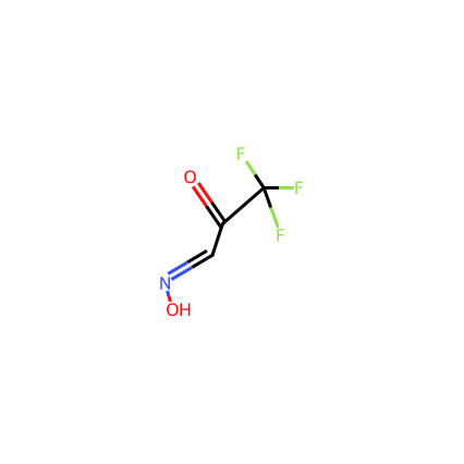 O=C(C=NO)C(F)(F)F